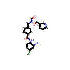 Nc1cc(Cl)ccc1NC(=O)c1ccc(CN(C=O)OCc2cccnc2)cc1